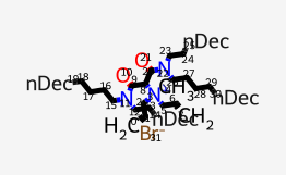 C=CC[N+](C)(CC=C)C(C(=O)N(CCCCCCCCCCCC)CCCCCCCCCCCCCC)C(=O)N(CCCCCCCCCCCC)CCCCCCCCCCCCCC.[Br-]